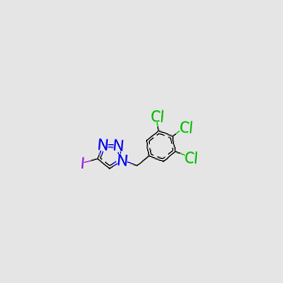 Clc1cc(Cn2cc(I)nn2)cc(Cl)c1Cl